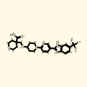 O=C(O)C1(COC2CCN(c3ccc(-c4nc5ccc(C(F)(F)F)cc5[nH]4)cn3)CC2)CCOCC1